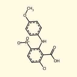 COc1ccc(Nc2c([N+](=O)[O-])ccc(Cl)c2C(=O)O)cc1